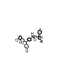 COc1cccc(CC(=O)C(c2ccc(NC(=O)Nc3cc(C(C)(C)C)nn3-c3ccc(C)cc3)cc2)C2CCNCC2)c1OC